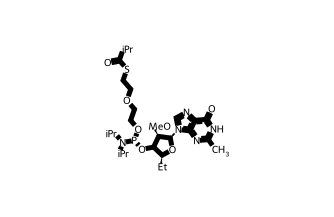 CC[C@H]1O[C@@H](n2cnc3c(=O)[nH]c(C)nc32)[C@@H](OC)C1OP(OCCOCCSC(=O)C(C)C)N(C(C)C)C(C)C